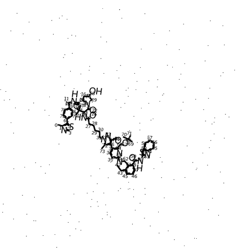 Cc1ncsc1-c1ccc([C@H](C)NC(=O)[C@@H]2C[C@@H](O)CN2C(=O)[C@@H](NC(=O)CCCCCn2nc(C)c(-c3ccc(N4CCc5cccc(C(=O)Nc6nc7ccccc7s6)c5C4)nc3C(=O)OC(C)(C)C)c2C)C(C)(C)C)cc1